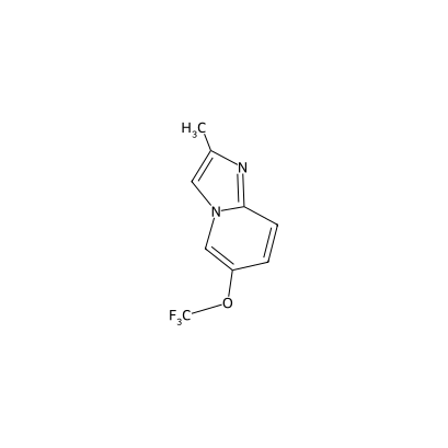 Cc1cn2cc(OC(F)(F)F)ccc2n1